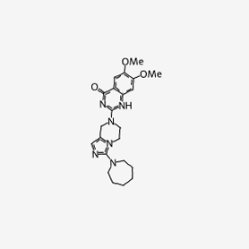 COc1cc2[nH]c(N3CCn4c(cnc4N4CCCCCC4)C3)nc(=O)c2cc1OC